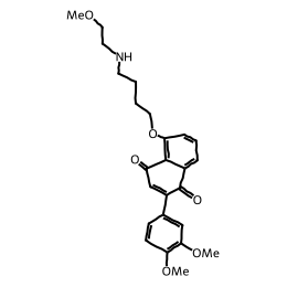 COCCNCCCCOc1cccc2c1C(=O)C=C(c1ccc(OC)c(OC)c1)C2=O